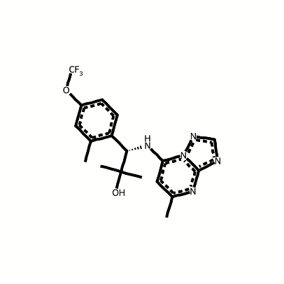 Cc1cc(N[C@@H](c2ccc(OC(F)(F)F)cc2C)C(C)(C)O)n2ncnc2n1